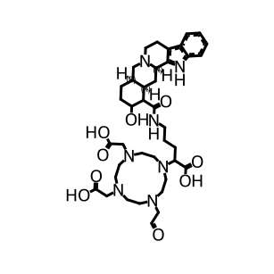 O=CCN1CCN(CC(=O)O)CCN(CC(=O)O)CCN(C(CCCNC(=O)C2C(O)CC[C@H]3CN4CCc5c([nH]c6ccccc56)[C@H]4C[C@@H]23)C(=O)O)CC1